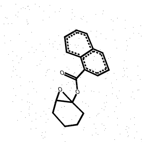 O=C(OC12CCCCC1O2)c1cccc2ccccc12